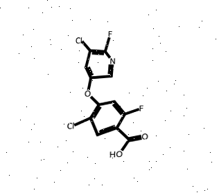 O=C(O)c1cc(Cl)c(Oc2cnc(F)c(Cl)c2)cc1F